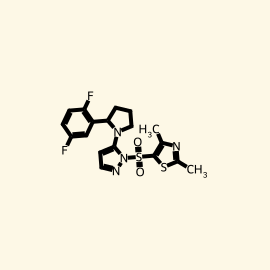 Cc1nc(C)c(S(=O)(=O)n2nccc2N2CCCC2c2cc(F)ccc2F)s1